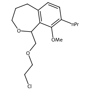 CCCc1ccc2c(c1OC)C(COCCCl)OCCC2